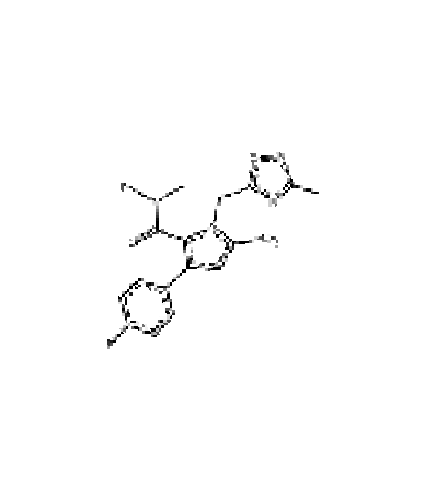 Cc1noc(Cn2c(C(F)(F)F)cc(-c3ccc(F)cc3)c2C(=O)N(C)C(C)C)n1